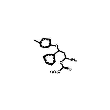 Cc1ccc(OC(CC(N)OC(=O)C(=O)O)c2ccccc2)cc1